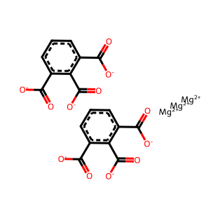 O=C([O-])c1cccc(C(=O)[O-])c1C(=O)[O-].O=C([O-])c1cccc(C(=O)[O-])c1C(=O)[O-].[Mg+2].[Mg+2].[Mg+2]